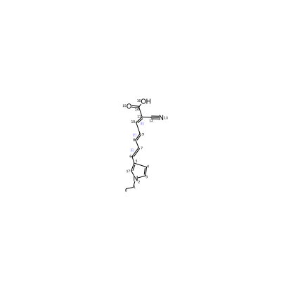 CCn1ccc(/C=C/C=C/C=C(\C#N)C(=O)O)c1